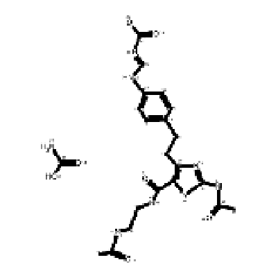 CC(=O)NCCNC(=O)c1sc(NC(C)=O)nc1CCc1ccc(NC=NC(=O)O)cc1.NC(=O)O